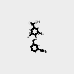 N#Cc1cccc(COc2c(I)cc(C(=O)O)cc2I)c1